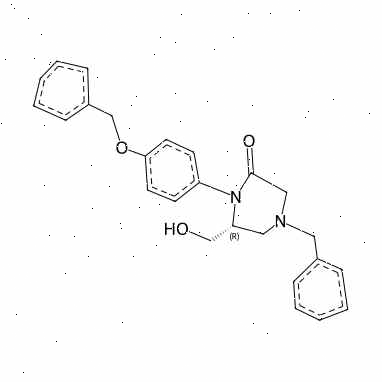 O=C1CN(Cc2ccccc2)C[C@H](CO)N1c1ccc(OCc2ccccc2)cc1